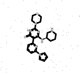 O=c1[nH]c(N2CCOCC2)nc(N[C@@H]2CCCNC2)c1-c1cccc(-n2cccc2)n1